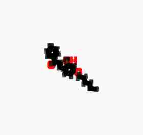 CCCCCCOc1ccc(C=CC(=O)c2ccccc2)c(O)c1